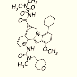 COc1ccc(C2CCCCC2)c2c1cc1n2CC2=C(C(=O)NS(=O)(=O)N(C)C)C2=C2C=CC[C@@H](NC(=O)N(C)CC3CCOCC3)C21